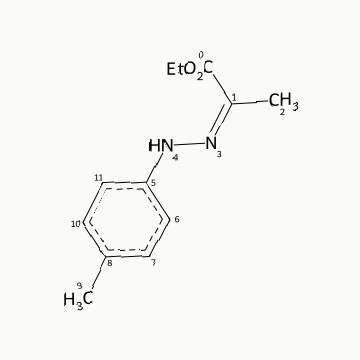 CCOC(=O)/C(C)=N\Nc1ccc(C)cc1